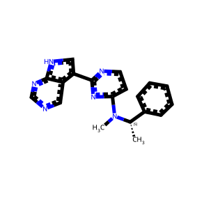 C[C@@H](c1ccccc1)N(C)c1ccnc(-c2c[nH]c3ncncc23)n1